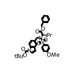 COc1ccc(S(=O)(=O)N(Cc2ccc3c(ccn3C(=O)OC(C)(C)C)c2)[C@@H](C(=O)OCc2ccccc2)C(C)C)cc1